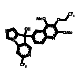 COc1nc2ccc(C3(O)c4cnc(C(F)(F)F)cc4-n4cncc43)cc2c(OC)c1OCC(F)(F)F